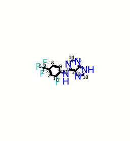 Fc1cc(C(F)(F)F)ccc1Nc1ncnc2[nH]cnc12